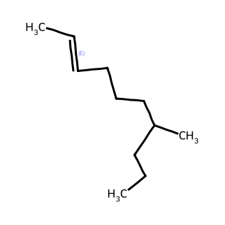 C/C=C/CCCC(C)CCC